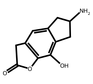 NC1Cc2cc3c(c(O)c2C1)OC(=O)C3